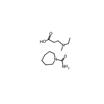 CCN(C)CCC(=O)O.NC(=O)N1CCCCCC1